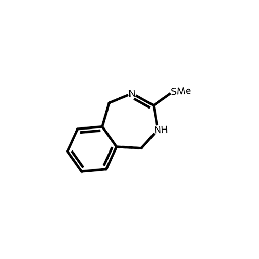 CSC1=NCc2ccccc2CN1